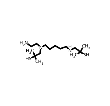 CC(C)(S)CNCCCCCN(CCN)CC(C)(C)S